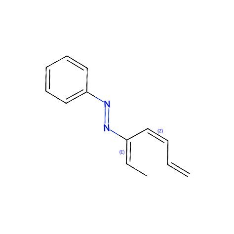 C=C/C=C\C(=C/C)N=Nc1ccccc1